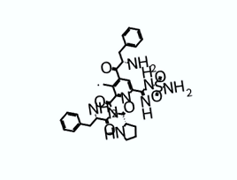 [CH2]c1c(C(=O)[C@@H](N)Cc2ccccc2)cc(C(=N)NS(N)(=O)=O)nc1C(=O)N(C(=O)[C@@H]1CCCN1)C(=O)[C@@H](N)Cc1ccccc1